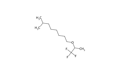 CC(C)CCCCCCOC(C)C(F)(F)F